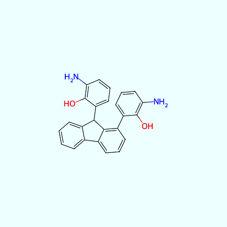 Nc1cccc(-c2cccc3c2C(c2cccc(N)c2O)c2ccccc2-3)c1O